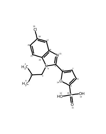 CC(C)Cn1c(-c2ccc(P(=O)(O)O)o2)nc2cc(Cl)ccc21